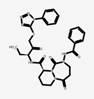 O=C(O)C[C@H](NC(=O)[C@@H]1CCCN2C(=O)CCN(NC(=O)c3ccccc3)C(=O)N12)C(=O)CSc1nnnn1-c1ccccc1